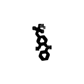 CS(=O)(=O)Cc1ccc(Nc2ccccc2)c(Br)c1